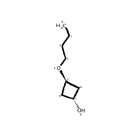 CCCCO[C@H]1C[C@H](O)C1